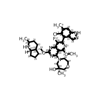 COc1nc(-c2c(Cl)c(C)cc3[nH]ncc23)c(F)c2nc(OC[C@]34CCC[C@H]3NC(C)CC4)nc(N3CCOC[C@@](C)(O)C3)c12